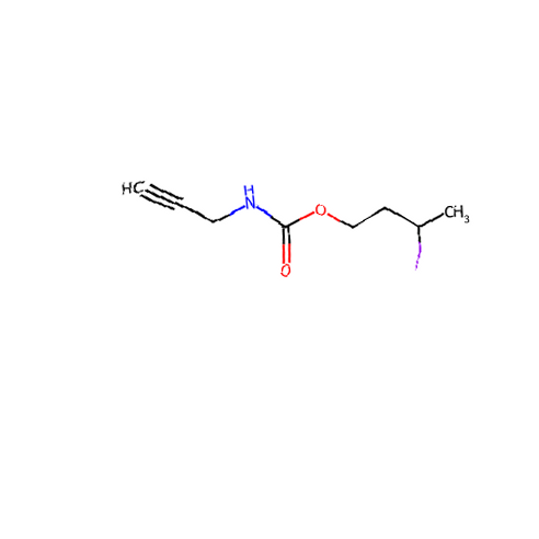 C#CCNC(=O)OCCC(C)I